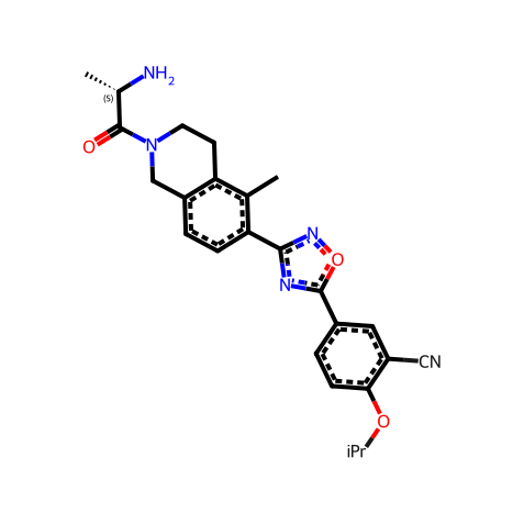 Cc1c(-c2noc(-c3ccc(OC(C)C)c(C#N)c3)n2)ccc2c1CCN(C(=O)[C@H](C)N)C2